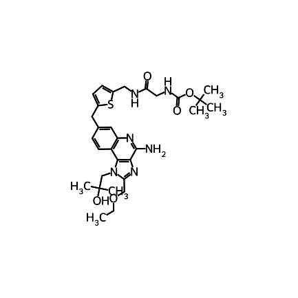 CCOCc1nc2c(N)nc3cc(Cc4ccc(CNC(=O)CNC(=O)OC(C)(C)C)s4)ccc3c2n1CC(C)(C)O